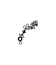 CS(=O)(=O)C1(c2ncc(C(=O)NC(=O)C34CC(c5nc6ccc(Cl)cc6s5)(C3)C4)o2)CC1